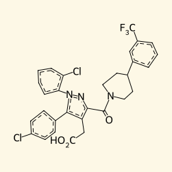 O=C(O)Cc1c(C(=O)N2CCC(c3cccc(C(F)(F)F)c3)CC2)nn(-c2ccccc2Cl)c1-c1ccc(Cl)cc1